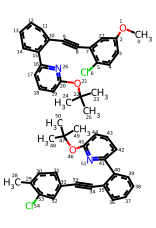 COc1ccc(Cl)c(C#Cc2ccccc2-c2cccc(OC(C)(C)C)n2)c1.Cc1ccc(C#Cc2ccccc2-c2cccc(OC(C)(C)C)n2)cc1Cl